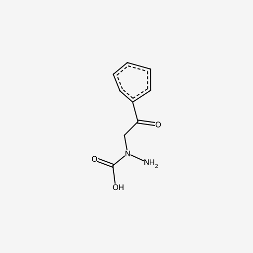 NN(CC(=O)c1ccccc1)C(=O)O